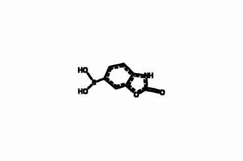 O=c1[nH]c2ccc(B(O)O)cc2o1